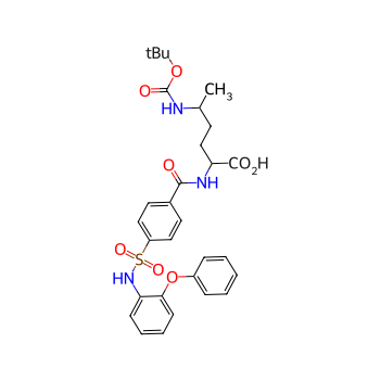 CC(CCC(NC(=O)c1ccc(S(=O)(=O)Nc2ccccc2Oc2ccccc2)cc1)C(=O)O)NC(=O)OC(C)(C)C